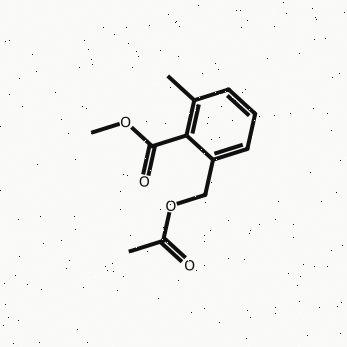 COC(=O)c1c(C)cccc1COC(C)=O